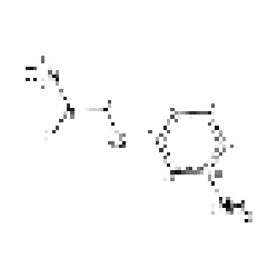 CC(CSc1cccc(N)c1)[N+](=O)[O-]